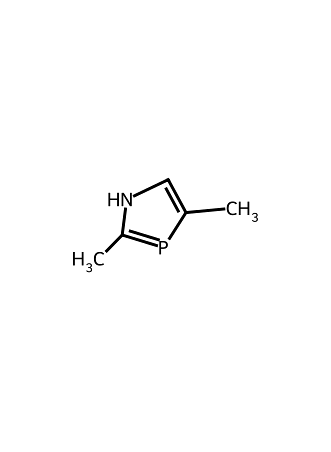 Cc1c[nH]c(C)p1